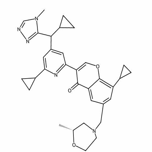 C[C@@H]1CN(Cc2cc(C3CC3)c3occ(-c4cc(C(c5nncn5C)C5CC5)cc(C5CC5)n4)c(=O)c3c2)CCO1